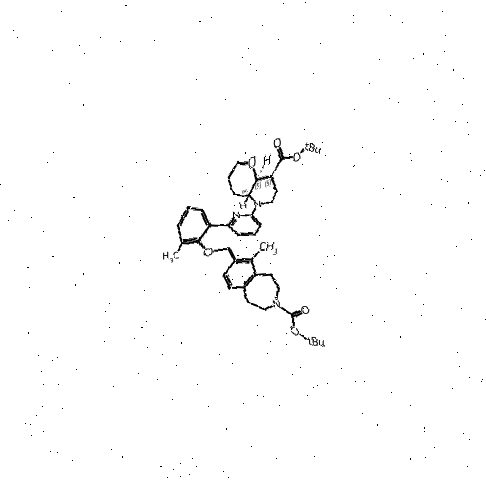 Cc1cccc(-c2cccc(N3CC[C@H](C(=O)OC(C)(C)C)[C@@H]4OCCC[C@H]43)n2)c1OCc1ccc2c(c1C)CCN(C(=O)OC(C)(C)C)CC2